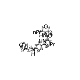 CCCC1COCC(=O)[C@H]1NC(=O)[C@H](CC(C)C)NC(=O)c1ccc(NCCN2CCOCC2)cc1